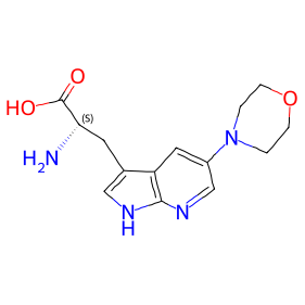 N[C@@H](Cc1c[nH]c2ncc(N3CCOCC3)cc12)C(=O)O